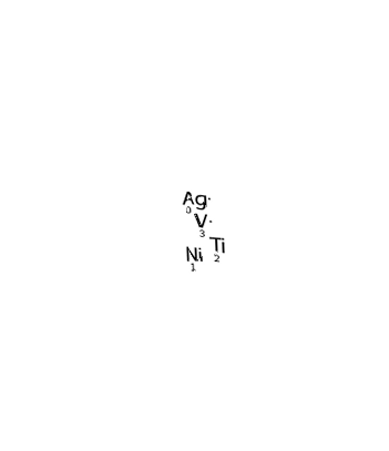 [Ag].[Ni].[Ti].[V]